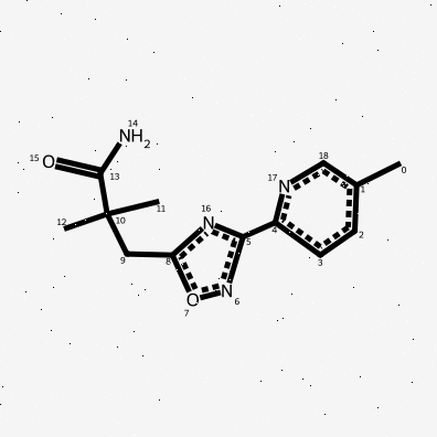 Cc1ccc(-c2noc(CC(C)(C)C(N)=O)n2)nc1